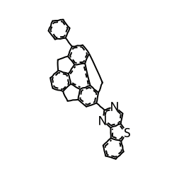 c1ccc(-c2cc3c4c5c2Cc2ccc6c(c25)c2c(cc(-c5ncc7sc8ccccc8c7n5)c(c24)C3)C6)cc1